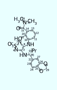 CC(C)[C@@H](Nc1n[s+]([O-])nc1Nc1cccc(C(=O)N(C)C)c1O)c1ccc2c(c1)OCO2